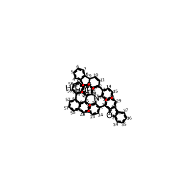 CC1(C)c2ccccc2C2C=CC(c3ccccc3N(c3ccccc3-c3cccc4c3oc3ccccc34)c3ccccc3-c3cccc4cccc(-c5ccccc5)c34)=CC21C